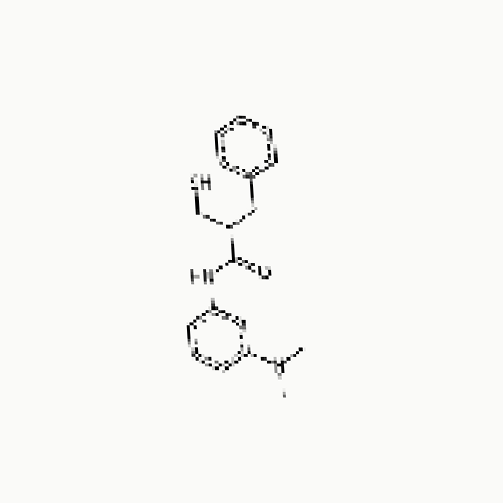 CN(C)c1cccc(NC(=O)C(CS)Cc2ccccc2)c1